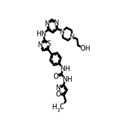 CCc1cc(NC(=O)Nc2ccc(-c3cnc(Nc4cc(N5CCN(CCO)CC5)ncn4)s3)cc2)no1